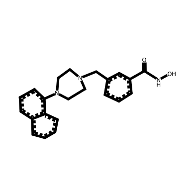 O=C(NO)c1cccc(CN2CCN(c3cccc4ccccc34)CC2)c1